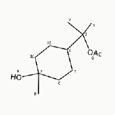 CC(=O)OC(C)(C)C1CCC(C)(O)CC1